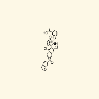 CC(O)c1cccc(C[C@H](NC(=O)c2c(Cl)cc3c(c2Cl)CCN(C(=O)c2ccc4c(c2)OCC4)C3)C(=O)O)c1